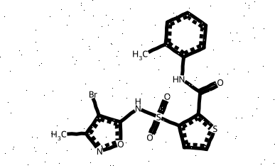 Cc1ccccc1NC(=O)c1sccc1S(=O)(=O)Nc1onc(C)c1Br